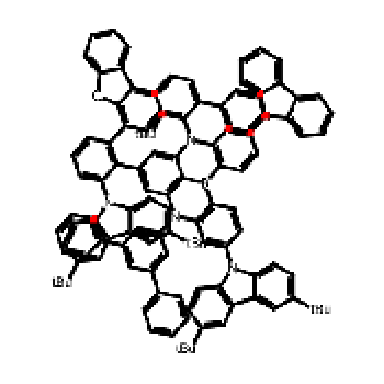 CC(C)(C)c1ccc2c(c1)c1cc(C(C)(C)C)ccc1n2-c1ccc2c(c1)N(c1cc(-c3ccccc3)cc(-c3ccccc3)c1)c1cc(-c3c(-c4cccc5c4oc4ccccc45)cccc3-n3c4ccc(C(C)(C)C)cc4c4cc(C(C)(C)C)ccc43)cc3c1B2c1ccc(-n2c4ccccc4c4ccccc42)cc1N3c1c(-c2ccccc2)cccc1C(C)(C)C